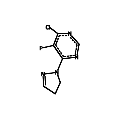 Fc1c(Cl)ncnc1N1CCC=N1